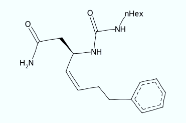 CCCCCCNC(=O)N[C@@H](/C=C\CCc1ccccc1)CC(N)=O